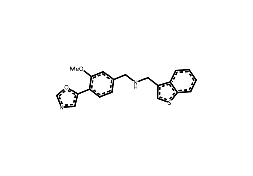 COc1cc(CNCc2csc3ccccc23)ccc1-c1cnco1